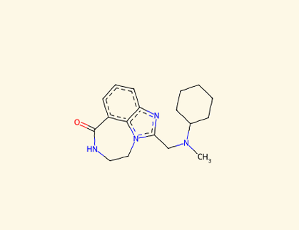 CN(Cc1nc2cccc3c2n1CCNC3=O)C1CCCCC1